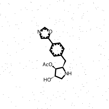 CC(=O)O[C@@H]1[C@@H](O)CN[C@@H]1Cc1ccc(-c2cnco2)cc1